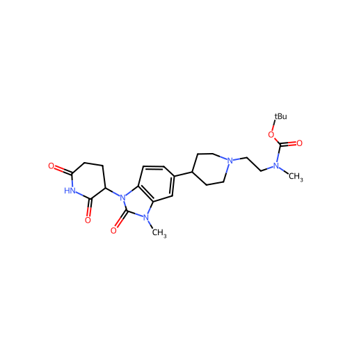 CN(CCN1CCC(c2ccc3c(c2)n(C)c(=O)n3C2CCC(=O)NC2=O)CC1)C(=O)OC(C)(C)C